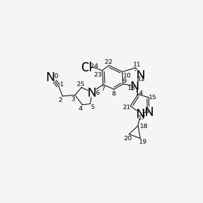 N#CCC1CCN(c2cc3c(cnn3-c3cnn(C4CC4)c3)cc2Cl)C1